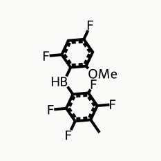 COc1cc(F)cc(F)c1Bc1c(F)c(F)c(C)c(F)c1F